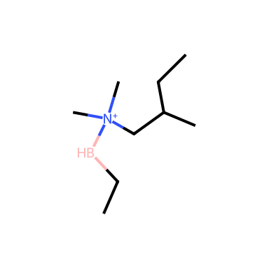 CCB[N+](C)(C)CC(C)CC